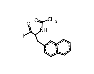 CC(=O)NC(Cc1ccc2ccccc2c1)C(=O)I